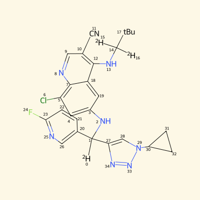 [2H]C(Nc1cc(Cl)c2ncc(C#N)c(NC([2H])([2H])C(C)(C)C)c2c1)(c1ccc(F)nc1)c1cn(C2CC2)nn1